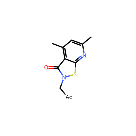 CC(=O)Cn1sc2nc(C)cc(C)c2c1=O